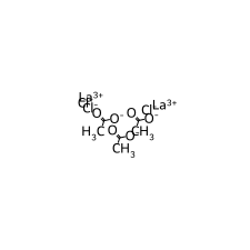 CC(=O)[O-].CC(=O)[O-].CC(=O)[O-].[Cl-].[Cl-].[Cl-].[La+3].[La+3]